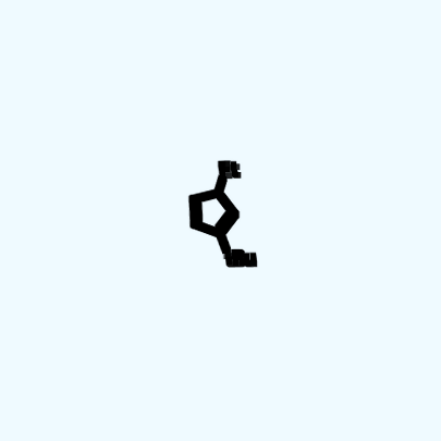 CCC1C=CC(C(C)(C)C)=C1